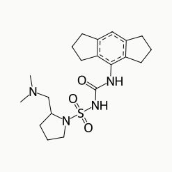 CN(C)CC1CCCN1S(=O)(=O)NC(=O)Nc1c2c(cc3c1CCC3)CCC2